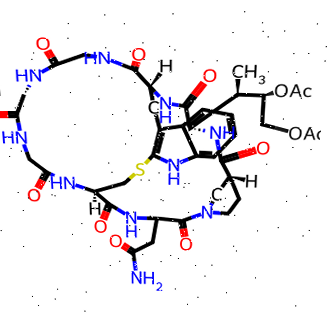 CC[C@H](C)[C@@H]1NC(=O)CNC(=O)[C@H]2Cc3c([nH]c4ccccc34)SC[C@H](NC(=O)CNC1=O)C(=O)NC(CC(N)=O)C(=O)N1CC[C@H](C1)C(=O)N[C@@H]([C@@H](C)[C@H](COC(C)=O)OC(C)=O)C(=O)N2